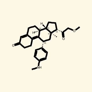 CNc1ccc([C@H]2C[C@]3(C)[C@@H](C(=O)COC)CC[C@H]3[C@@H]3CCC4=CC(=O)CCC4=C32)cc1